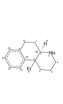 CCC12CCCN[C@@H]1CCc1ccccc12